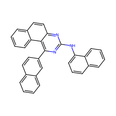 c1ccc2cc(-c3nc(Nc4cccc5ccccc45)nc4ccc5ccccc5c34)ccc2c1